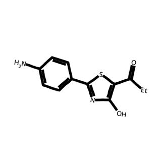 CCC(=O)c1sc(-c2ccc(N)cc2)nc1O